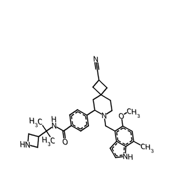 COc1cc(C)c2[nH]ccc2c1CN1CCC2(CC(C#N)C2)CC1c1ccc(C(=O)NC(C)(C)C2CNC2)cc1